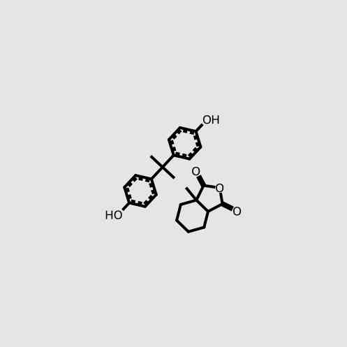 CC(C)(c1ccc(O)cc1)c1ccc(O)cc1.CC12CCCCC1C(=O)OC2=O